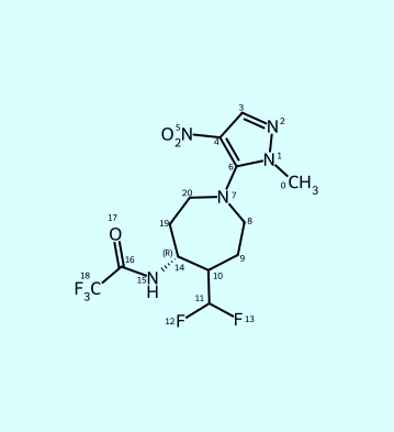 Cn1ncc([N+](=O)[O-])c1N1CCC(C(F)F)[C@H](NC(=O)C(F)(F)F)CC1